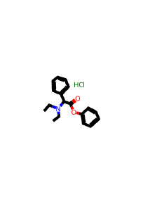 CCN(CC)C(C(=O)Oc1ccccc1)c1ccccc1.Cl